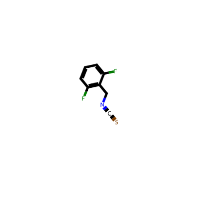 Fc1cccc(F)c1CN=C=S